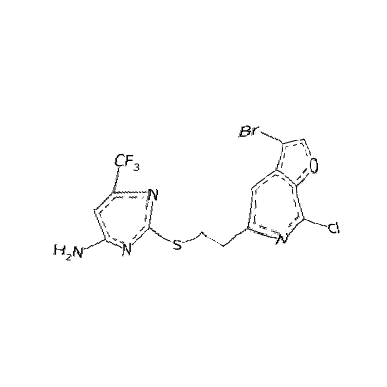 Nc1cc(C(F)(F)F)nc(SCCc2cc3c(Br)coc3c(Cl)n2)n1